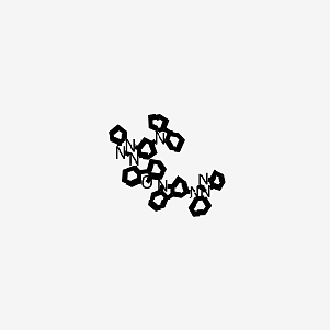 c1ccc2c(c1)nc1n(-c3ccc4c(c3)c3ccccc3n4-c3cccc4c3oc3cccc(-n5c6ccc(-n7c8ccccc8c8ccccc87)cc6n6c7ccccc7nc56)c34)c3ccccc3n21